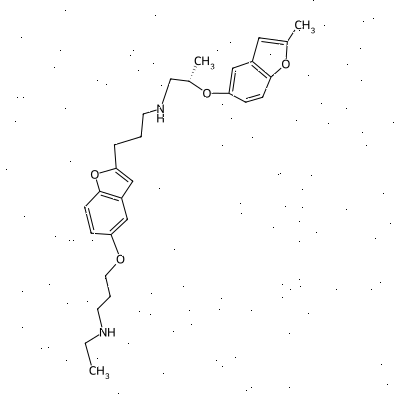 CCNCCCOc1ccc2oc(CCCNC[C@H](C)Oc3ccc4oc(C)cc4c3)cc2c1